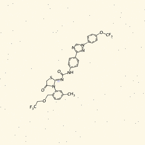 Cc1ccc(COCC(F)(F)F)c(N2C(=O)CS/C2=N\C(=O)Nc2ccc(-c3ncn(-c4ccc(OC(F)(F)F)cc4)n3)cc2)c1